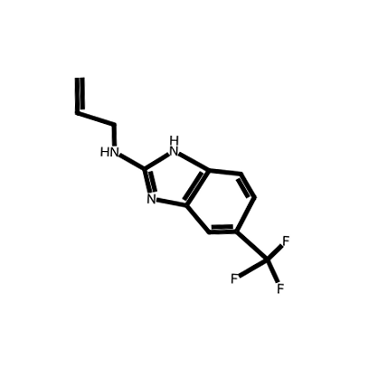 C=CCNc1nc2cc(C(F)(F)F)ccc2[nH]1